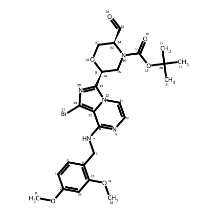 COc1ccc(CNc2nccn3c([C@@H]4CN(C(=O)OC(C)(C)C)[C@H](C=O)CO4)nc(Br)c23)c(OC)c1